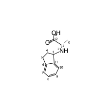 C[C@H](NC1CCc2ccccc21)C(=O)O